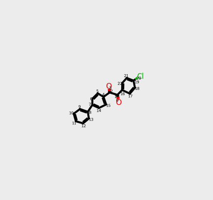 O=C(C(=O)c1ccc(-c2ccccc2)cc1)c1ccc(Cl)cc1